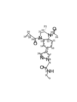 CCNC(=O)Cn1cc(-c2ccc3c(c2)N(C(=O)C2CC2)C[C@H](C)N3C(C)=O)cn1